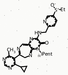 CCC[C@H](C)n1c(=O)c(NCc2ccc([S+]([O-])CC)cn2)nc2c1=NCC(c1c(C)ncnc1C1CC1)=NC=2